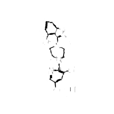 C[C@@H]1CN(c2ncc(C(=O)O)cc2Cl)CCN1c1noc2cccc(C(F)(F)F)c12